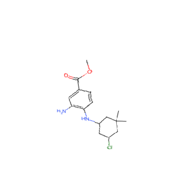 COC(=O)c1ccc(NC2CC(Cl)CC(C)(C)C2)c(N)c1